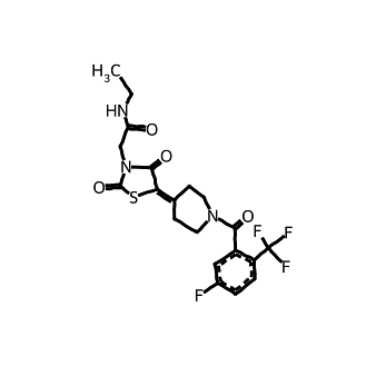 CCNC(=O)CN1C(=O)SC(=C2CCN(C(=O)c3cc(F)ccc3C(F)(F)F)CC2)C1=O